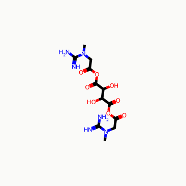 CN(CC(=O)OC(=O)C(O)C(O)C(=O)OC(=O)CN(C)C(=N)N)C(=N)N